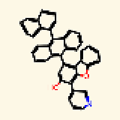 Oc1cc(-c2c3ccccc3c(-c3cccc4ccccc34)c3ccccc23)c2c(oc3ccccc32)c1-c1cccnc1